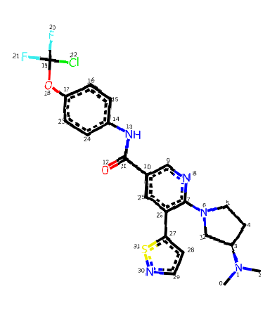 CN(C)[C@@H]1CCN(c2ncc(C(=O)Nc3ccc(OC(F)(F)Cl)cc3)cc2-c2ccns2)C1